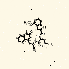 COc1cccc2[nH]c(C(=O)NC(CC(C)C)C(=O)NC(C#N)Cc3cc(=O)[nH]c4ccccc34)cc12